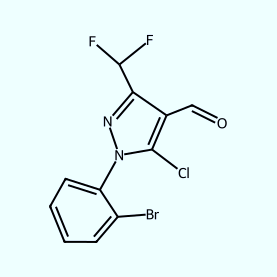 O=Cc1c(C(F)F)nn(-c2ccccc2Br)c1Cl